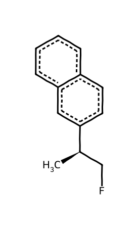 C[C@H](CF)c1ccc2ccccc2c1